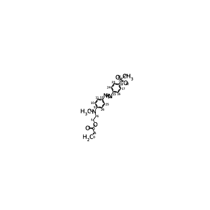 C=CC(=O)OCCN(C)c1ccc(N=Nc2ccc(S(C)(=O)=O)cc2)cc1